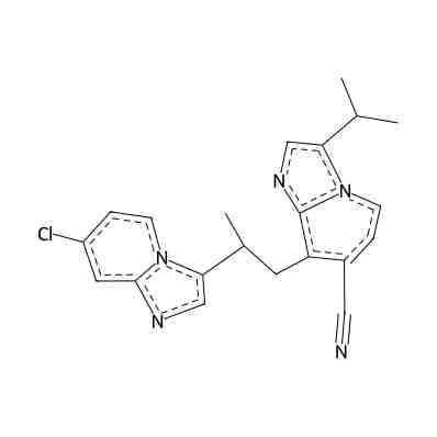 CC(C)c1cnc2c(CC(C)c3cnc4cc(Cl)ccn34)c(C#N)ccn12